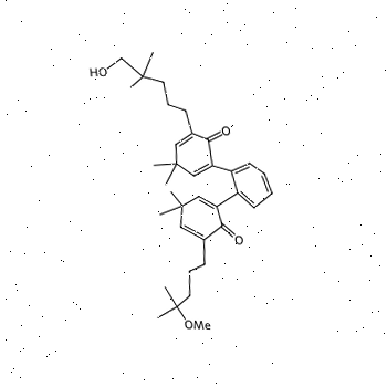 COC(C)(C)CCCC1=CC(C)(C)C=C(c2ccccc2C2=CC(C)(C)C=C(CCCC(C)(C)CO)C2=O)C1=O